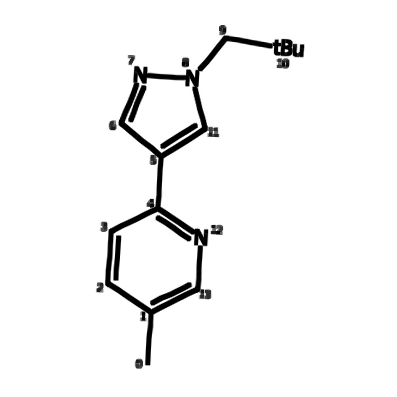 Cc1ccc(-c2cnn(CC(C)(C)C)c2)nc1